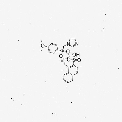 COc1ccc([C@]2(Cn3ccnc3)OC[C@H](Cc3c(S(=O)(=O)O)ccc4ccccc34)O2)cc1